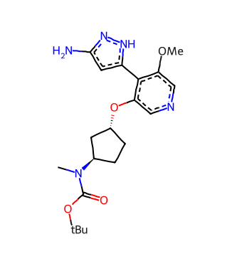 COc1cncc(O[C@@H]2CC[C@@H](N(C)C(=O)OC(C)(C)C)C2)c1-c1cc(N)n[nH]1